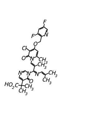 CC(C)=C/N=C(\C(C)=C\n1c(C)cc(OCc2ncc(F)cc2F)c(Cl)c1=O)n1cncc(C(C)(C)C(=O)O)c1=O